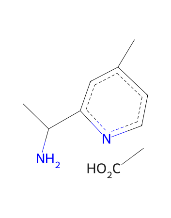 CC(=O)O.Cc1ccnc(C(C)N)c1